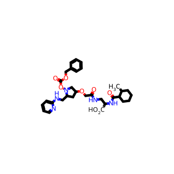 CC1CCCCC1C(=O)NC(CNC(=O)COC1CC(CNc2ccccn2)N(OC(=O)OCc2ccccc2)C1)C(=O)O